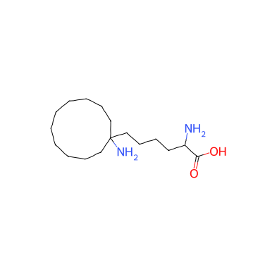 NC(CCCCC1(N)CCCCCCCCCC1)C(=O)O